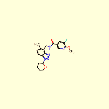 COc1ncc(C(=O)NCc2c(C)ccc3c2nnn3C2CCCCO2)cc1F